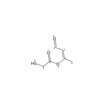 CC(=CC=O)OC(=O)CS